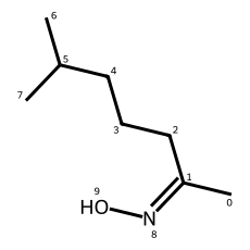 CC(CCCC(C)C)=NO